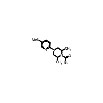 CCC(=O)N1C(C)CN(c2ccc(NC)cn2)CC1C